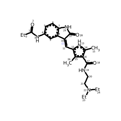 CCC(=O)Nc1ccc2c(c1)/C(=C/c1[nH]c(C)c(C(=O)NCCN(CC)CC)c1C)C(=O)N2